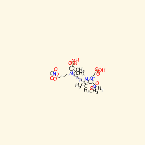 CON(C)C(=O)c1cc2c([n+](CCCS(=O)(=O)O)c1)N=C(/C=C/C=C/C=C1/N(CCCCCC(=O)ON3C(=O)CCC3=O)c3ccc(S(=O)(=O)O)cc3C1(C)C)C2(C)C